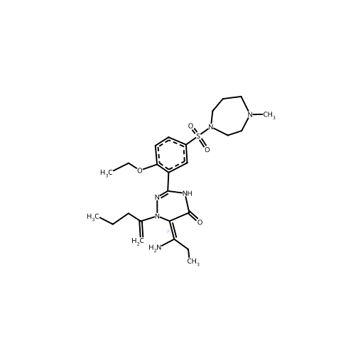 C=C(CCC)N1N=C(c2cc(S(=O)(=O)N3CCCN(C)CC3)ccc2OCC)NC(=O)/C1=C(/N)CC